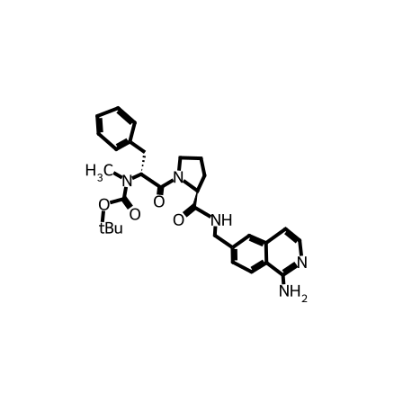 CN(C(=O)OC(C)(C)C)[C@H](Cc1ccccc1)C(=O)N1CCC[C@H]1C(=O)NCc1ccc2c(N)nccc2c1